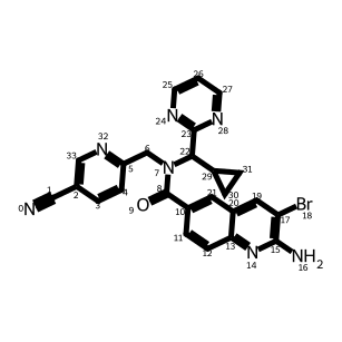 N#Cc1ccc(CN(C(=O)c2ccc3nc(N)c(Br)cc3c2)C(c2ncccn2)C2CC2)nc1